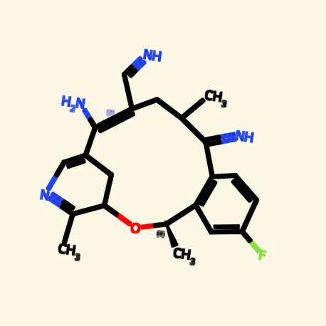 CC1=NC=C2CC1O[C@H](C)c1cc(F)ccc1C(=N)C(C)C/C(C=N)=C\2N